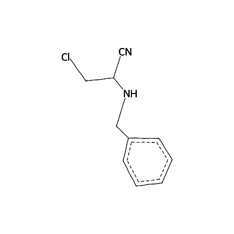 N#CC(CCl)NCc1ccccc1